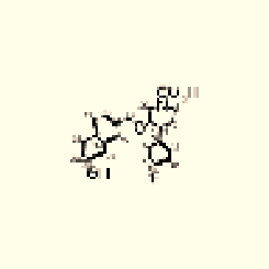 O=C(O)N1CCC(c2ccc(F)cc2)C(OCc2ccc3ccc(O)cc3c2)C1